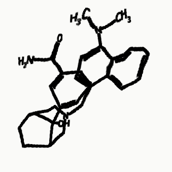 CN(C)c1ccc(CN2CC3CCC(C2)C3(O)c2cccc(C(N)=O)c2)c2ccccc12